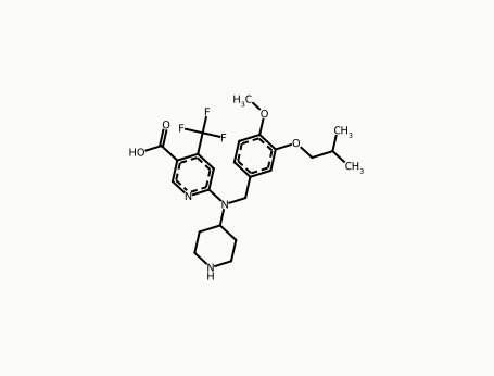 COc1ccc(CN(c2cc(C(F)(F)F)c(C(=O)O)cn2)C2CCNCC2)cc1OCC(C)C